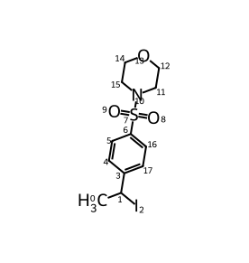 CC(I)c1ccc(S(=O)(=O)N2CCOCC2)cc1